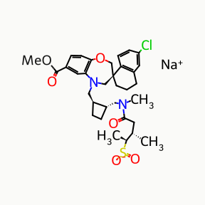 COC(=O)c1ccc2c(c1)N(C[C@@H]1CC[C@H]1CN(C)C(=O)C[C@H](C)[C@H](C)S(=O)[O-])C[C@@]1(CCCc3cc(Cl)ccc31)CO2.[Na+]